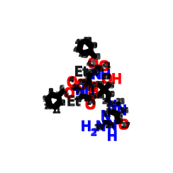 CCC(NC(=O)OCc1ccccc1)C(=O)OCC(CO)(CCn1cnc2c(=O)[nH]c(N)nc21)COC(=O)C(CC)NC(=O)OCc1ccccc1